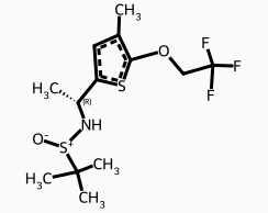 Cc1cc([C@@H](C)N[S+]([O-])C(C)(C)C)sc1OCC(F)(F)F